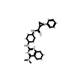 CN(C)c1nc(NC2CCC(NC(=O)C3C[C@H]3c3ccccc3)CC2)nc2c1CCCC2